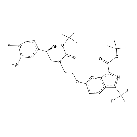 CC(C)(C)OC(=O)N(CCOc1ccc2c(C(F)(F)F)nn(C(=O)OC(C)(C)C)c2c1)C[C@H](O)c1ccc(F)c(N)c1